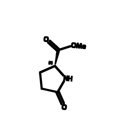 COC(=O)[C@H]1CCC(=O)N1